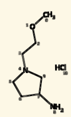 COCCN1CCC(N)C1.Cl